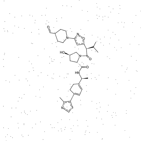 Cc1ncsc1C1=CC=C([C@H](C)NC(=O)[C@@H]2C[C@@H](O)CN2C(=O)[C@@H](c2cc(N3CCC(C=O)CC3)no2)C(C)C)CC1